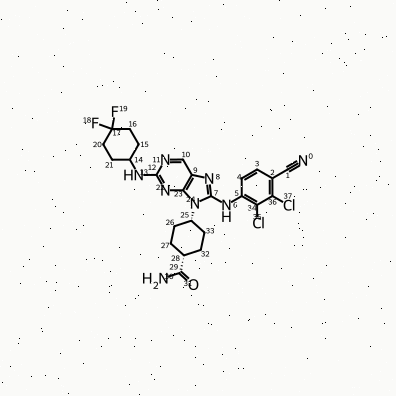 N#Cc1ccc(Nc2nc3cnc(NC4CCC(F)(F)CC4)nc3n2[C@H]2CC[C@@H](C(N)=O)CC2)c(Cl)c1Cl